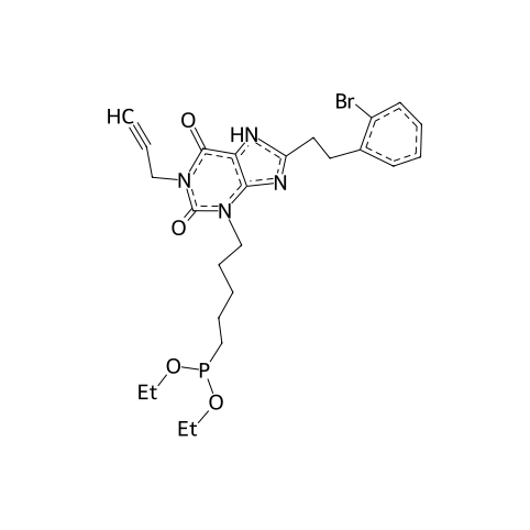 C#CCn1c(=O)c2[nH]c(CCc3ccccc3Br)nc2n(CCCCCP(OCC)OCC)c1=O